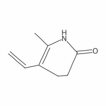 C=CC1=C(C)NC(=O)CC1